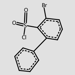 O=S(=O)(Cl)c1c(Br)cccc1-c1ccccc1